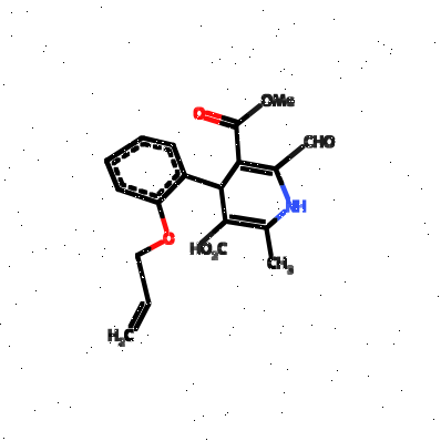 C=CCOc1ccccc1C1C(C(=O)O)=C(C)NC(C=O)=C1C(=O)OC